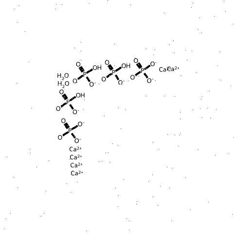 O.O.O=P([O-])([O-])O.O=P([O-])([O-])O.O=P([O-])([O-])O.O=P([O-])([O-])[O-].O=P([O-])([O-])[O-].[Ca+2].[Ca+2].[Ca+2].[Ca+2].[Ca+2].[Ca+2]